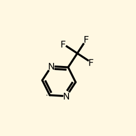 FC(F)(F)c1cn[c]cn1